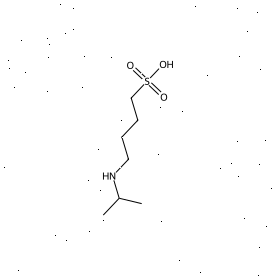 CC(C)NCCCCS(=O)(=O)O